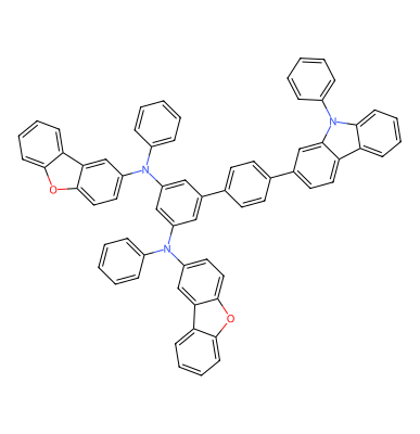 c1ccc(N(c2cc(-c3ccc(-c4ccc5c6ccccc6n(-c6ccccc6)c5c4)cc3)cc(N(c3ccccc3)c3ccc4oc5ccccc5c4c3)c2)c2ccc3oc4ccccc4c3c2)cc1